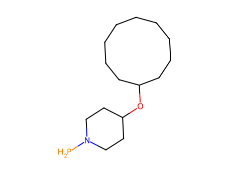 PN1CCC(OC2CCCCCCCCC2)CC1